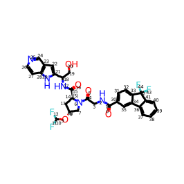 O=C(NCC(=O)N1C[C@H](OC(F)F)C[C@H]1C(=O)NC(CO)c1cc2cnccc2[nH]1)c1ccc2c(c1)-c1ccccc1C2(F)F